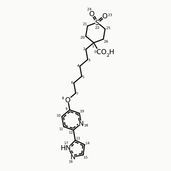 O=C(O)C1(CCCCCCOc2ccc(-c3ccn[nH]3)nc2)CCS(=O)(=O)CC1